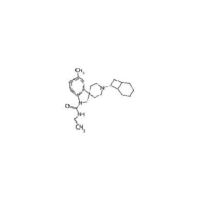 CCNC(=O)N1CC2(CCN(C3CC4CCCCC43)CC2)c2cc(C)ccc21